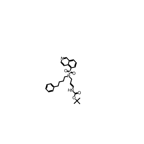 CC(C)(C)OC(=O)NC=CCN(CCCCc1ccccc1)S(=O)(=O)c1cccc2cnccc12